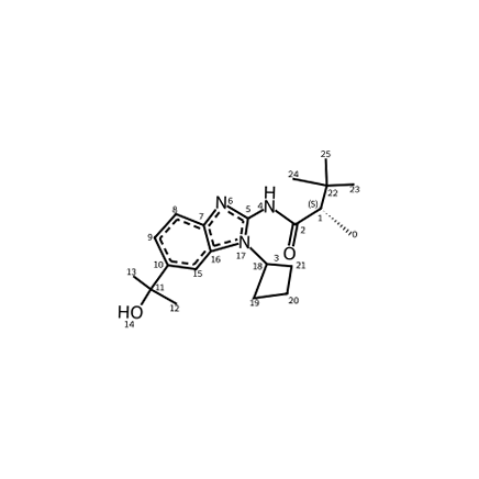 C[C@H](C(=O)Nc1nc2ccc(C(C)(C)O)cc2n1C1CCC1)C(C)(C)C